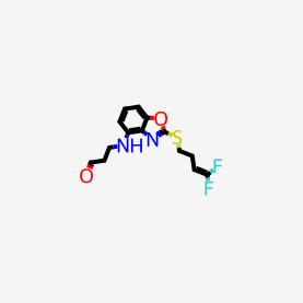 O=CCCNc1cccc2oc(SCCC=C(F)F)nc12